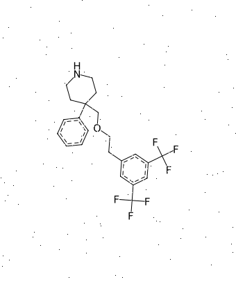 FC(F)(F)c1cc(CCOCC2(c3ccccc3)CCNCC2)cc(C(F)(F)F)c1